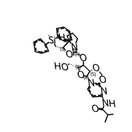 CO[C@H]1C(O[P@@]2O[C@H](C[Si](C)(c3ccccc3)c3ccccc3)[C@@H]3CCCN32)[C@@H](CO)O[C@H]1n1ccc(NC(=O)C(C)C)nc1=O